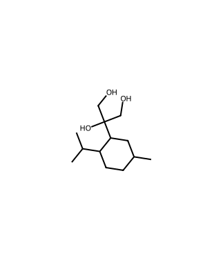 CC1CCC(C(C)C)C(C(O)(CO)CO)C1